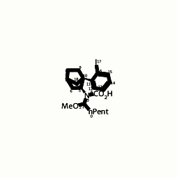 CCCCCC(OC)N(C(=O)O)[C@H]1CC2CC[C@@]1(c1ccccc1I)C2